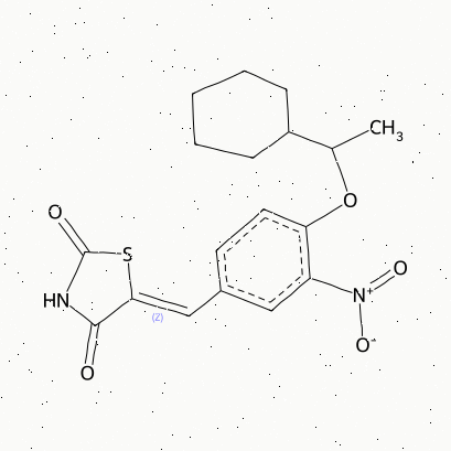 CC(Oc1ccc(/C=C2\SC(=O)NC2=O)cc1[N+](=O)[O-])C1CCCCC1